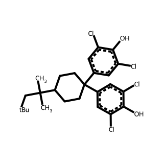 CC(C)(C)CC(C)(C)C1CCC(c2cc(Cl)c(O)c(Cl)c2)(c2cc(Cl)c(O)c(Cl)c2)CC1